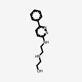 OCCNCCNc1ccc(-c2ccccc2)nn1